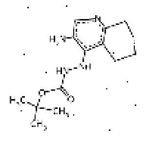 CC(C)(C)OC(=O)NNc1c(N)cnc2c1CCCC2